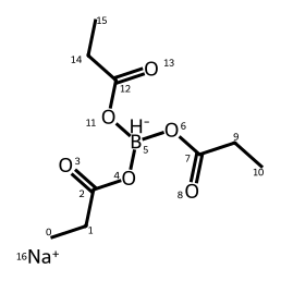 CCC(=O)O[BH-](OC(=O)CC)OC(=O)CC.[Na+]